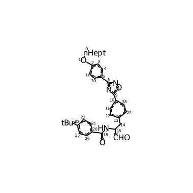 CCCCCCCOc1ccc(-c2noc(-c3ccc(CC(C=O)NC(=O)c4ccc(C(C)(C)C)cc4)cc3)n2)cc1